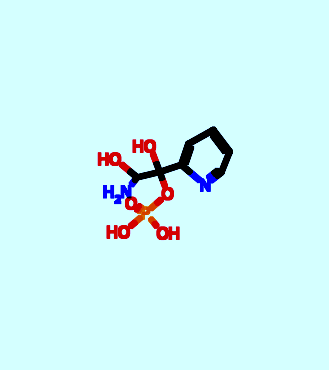 NC(O)C(O)(OP(=O)(O)O)c1ccccn1